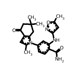 Cc1cc(Nc2cc(-n3c(C)cc4c3CC(C)(C)CC4=O)ccc2C(N)=O)no1